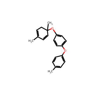 CC1=CCC(C)(Oc2ccc(Oc3ccc(C)cc3)cc2)C=C1